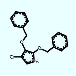 Clc1c[pH]c(OCc2ccccc2)c1OCc1ccccc1